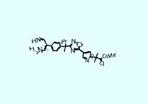 COC(=O)C(C)(C)n1cc(-c2nc(C(C)(c3ccc(/C(C=N)=C/N)cc3)C(C)C)no2)cn1